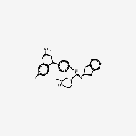 C[C@H]1CN(/C(=N/C2Cc3ccccc3C2)Nc2ccc(C(CC(N)=O)c3ccc(F)cc3)cc2)CCN1